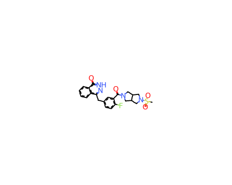 CS(=O)(=O)N1CC2CN(C(=O)c3cc(Cc4n[nH]c(=O)c5ccccc45)ccc3F)CC2C1